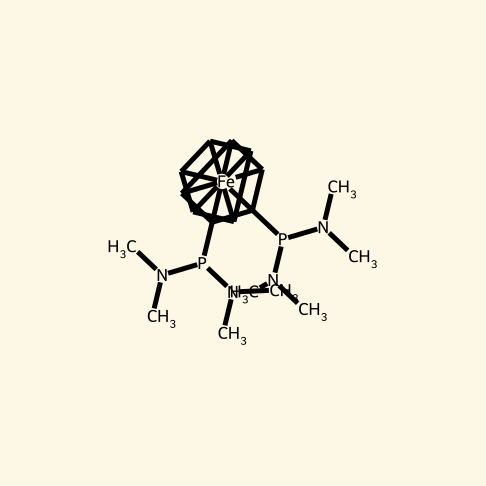 CN(C)P(N(C)C)[C]12[CH]3[CH]4[CH]5[C]1(P(N(C)C)N(C)C)[Fe]43521678[CH]2[CH]1[CH]6[CH]7[CH]28